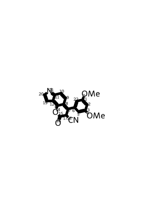 COc1cc(OC)cc(C2=c3ccc4c(c3OC(=O)C2C#N)C=CN=4)c1